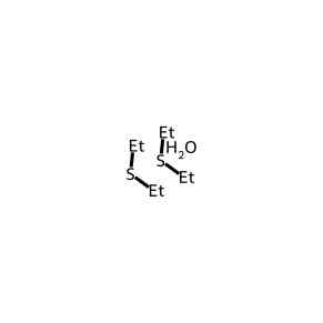 CCSCC.CCSCC.O